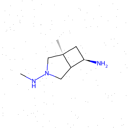 CNN1CC2[C@H](N)C[C@]2(C)C1